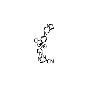 N#Cc1ccnc(N2CCC(S(=O)(=O)c3ccc(N4CCN5CCC=C5C4)cc3Cl)C2)n1